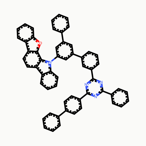 c1ccc(-c2ccc(-c3nc(-c4ccccc4)nc(-c4cccc(-c5cc(-c6ccccc6)cc(-n6c7ccccc7c7ccc8c9ccccc9oc8c76)c5)c4)n3)cc2)cc1